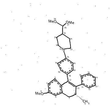 COc1ccc2c(c1)C[C@@H](C)C(c1ccccc1)=C2c1ccc(N2CCC(C(OC)OC)CC2)cc1